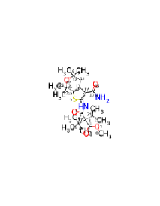 COC(=O)C(C(=O)Nc1sc2c(c1C(N)=O)CC(C)(C)OC2(C)C)(C(C)C)C(C)(C)C